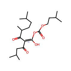 CC(C)CCOC(=O)O/C(O)=C(/C(=O)CC(C)C)C(=O)C(C)CCC(C)C